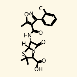 Cc1onc(-c2ccccc2Cl)c1C(=O)N[C@@H]1C(=O)N2C(C(=O)O)C(C)(C)S[C@H]12